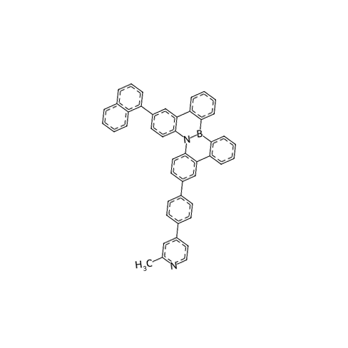 Cc1cc(-c2ccc(-c3ccc4c(c3)-c3ccccc3B3c5ccccc5-c5cc(-c6cccc7ccccc67)ccc5N34)cc2)ccn1